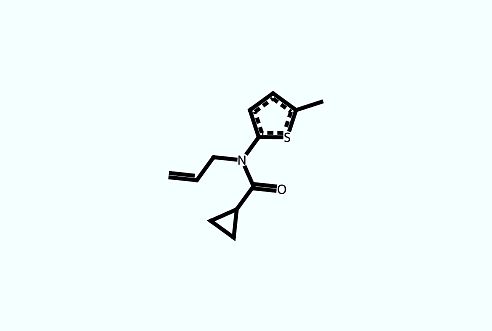 C=CCN(C(=O)C1CC1)c1ccc(C)s1